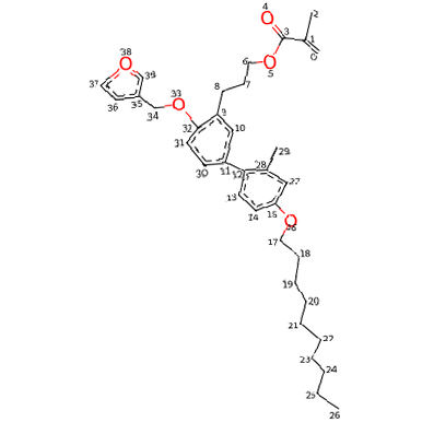 C=C(C)C(=O)OCCCc1cc(-c2ccc(OCCCCCCCCCC)cc2C)ccc1OCc1ccoc1